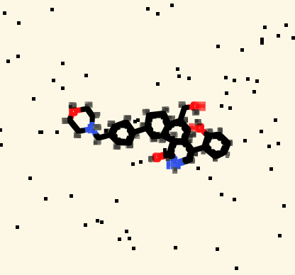 O=c1[nH]cc(-c2ccccc2O)c2cc(CO)c3ccc(-c4ccc(CN5CCOCC5)cc4)cc3c12